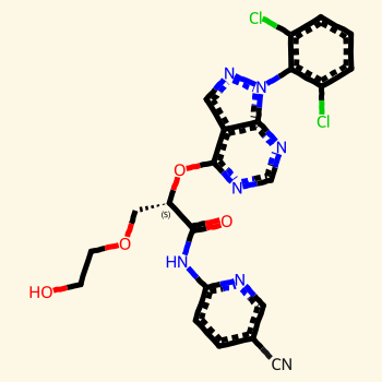 N#Cc1ccc(NC(=O)[C@H](COCCO)Oc2ncnc3c2cnn3-c2c(Cl)cccc2Cl)nc1